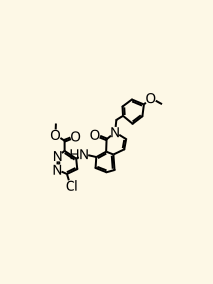 COC(=O)c1nnc(Cl)cc1Nc1cccc2ccn(Cc3ccc(OC)cc3)c(=O)c12